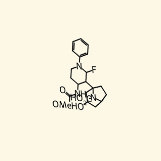 COC(=O)NC1CCN(c2ccccc2)C(F)C1C12CCC(CC(O)C1)N2C(=O)O